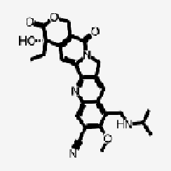 CC[C@@]1(O)C(=O)OCc2c1cc1n(c2=O)Cc2cc3c(CNC(C)C)c(OC)c(C#N)cc3nc2-1